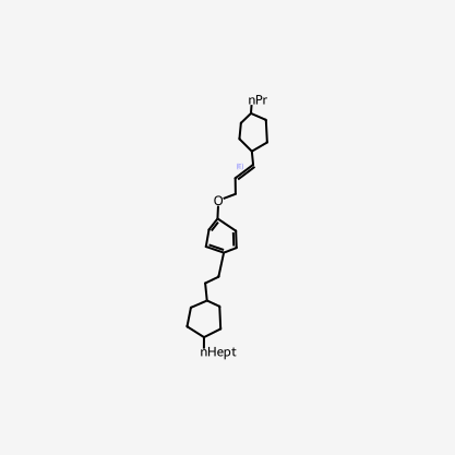 CCCCCCCC1CCC(CCc2ccc(OC/C=C/C3CCC(CCC)CC3)cc2)CC1